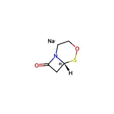 O=C1C[C@H]2SOCCN12.[Na]